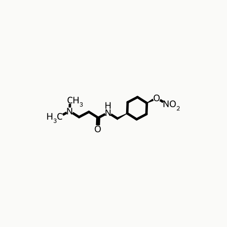 CN(C)CCC(=O)NC[C@H]1CC[C@@H](O[N+](=O)[O-])CC1